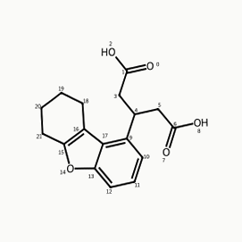 O=C(O)CC(CC(=O)O)c1cccc2oc3c(c12)CCCC3